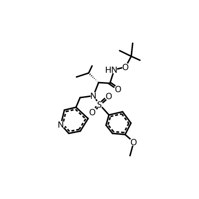 COc1ccc(S(=O)(=O)N(Cc2cccnc2)[C@@H](C(=O)NOC(C)(C)C)C(C)C)cc1